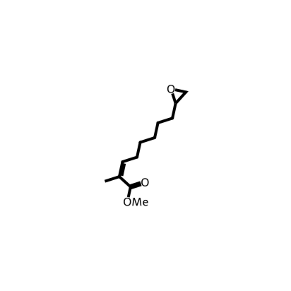 COC(=O)C(C)=CCCCCCC1CO1